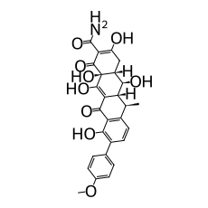 COc1ccc(-c2ccc3c(c2O)C(=O)C2=C(O)[C@]4(O)C(=O)C(C(N)=O)=C(O)C[C@@H]4[C@@H](O)[C@@H]2[C@H]3C)cc1